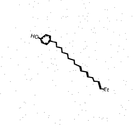 CCC=CCCC=CC=CCCCCCCCCc1ccc(O)cc1